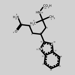 CC(C)(CC(CCC(N)=O)c1nc2ccccc2s1)NC(=O)O